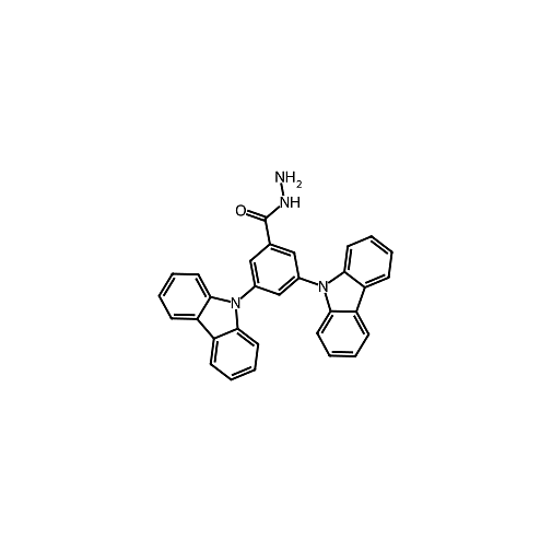 NNC(=O)c1cc(-n2c3ccccc3c3ccccc32)cc(-n2c3ccccc3c3ccccc32)c1